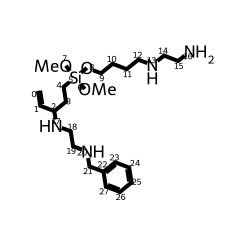 C=CC(CC[Si](OC)(OC)OCCCCNCCN)NCCNCc1ccccc1